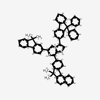 CC1(C)c2ccccc2-c2ccc(-c3cn4c(-c5ccc6c(c5)C(c5ccccc5)(c5ccccc5)c5ccccc5-6)cnc4c(-c4ccc5c(c4)C(C)(C)c4ccc6ccccc6c4-5)n3)cc21